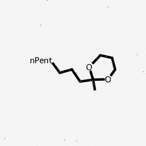 CCCCCCCCC1(C)OCCCO1